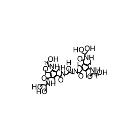 C[C@H](O)C(=O)Nc1c(I)c(C(=O)NCC(O)CNC(=O)c2c(I)c(NC(=O)[C@H](C)O)c(I)c(C(=O)NC(CO)CO)c2I)c(I)c(C(=O)NC(CO)CO)c1I